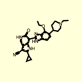 CCOc1c(C2CCN(CC)CC2)ccc2[nH]c(-c3c(=O)[nH]cc4c(C#N)c(C5CC5)[nH]c34)nc12